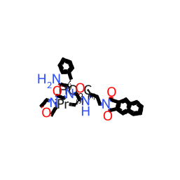 CC(C)C[C@H](N[C@H](CCN1C(=O)c2cc3ccccc3cc2C1=O)C(=O)O)C(=O)N(CCN1CCOCC1)[C@@H](Cc1ccccc1)C(N)=O